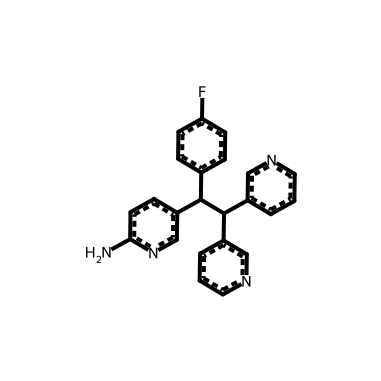 Nc1ccc(C(c2ccc(F)cc2)C(c2cccnc2)c2cccnc2)cn1